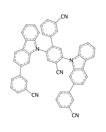 N#Cc1cccc(-c2ccc3c4ccccc4n(-c4cc(-c5cccc(C#N)c5)c(-n5c6ccccc6c6ccc(-c7cccc(C#N)c7)cc65)cc4C#N)c3c2)c1